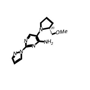 COC[C@H]1CCCN1c1cnc(-n2cccn2)nc1N